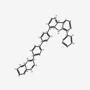 c1ccc(-c2cccc3c2oc2c(-c4ccc(-c5ccc(-c6cnc7ccccc7n6)cc5)cc4)ccnc23)cc1